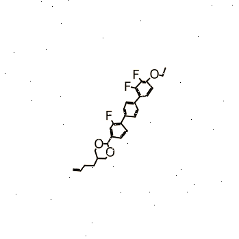 C=CCCC1COC(c2ccc(-c3ccc(-c4ccc(OCC)c(F)c4F)cc3)c(F)c2)OC1